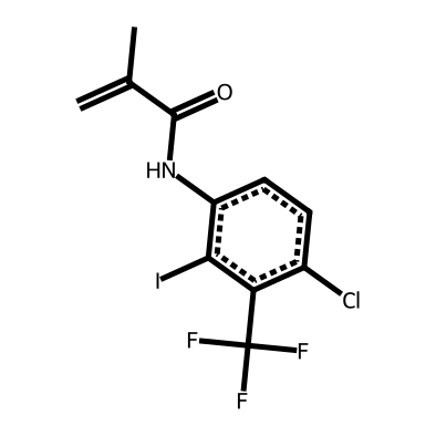 C=C(C)C(=O)Nc1ccc(Cl)c(C(F)(F)F)c1I